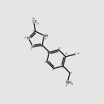 NCc1ccc(-c2nnc(C(F)(F)F)[nH]2)cc1I